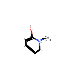 CN1CC=CC=C1[O]